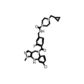 Cn1ncc2c1Nc1cc(Cl)ccc1N(C(=O)c1ccc(CNC(=O)N3CCN(CC4CC4)CC3)cc1F)C2